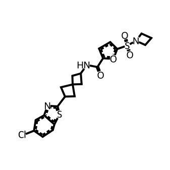 O=C(NC1CC2(C1)CC(c1nc3cc(Cl)ccc3s1)C2)c1ccc(S(=O)(=O)N2CCC2)o1